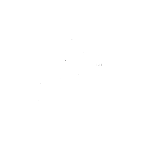 CCc1cc(N)cc(-c2ccc(Br)cc2)n1